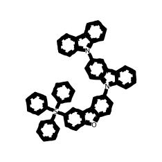 c1ccc(S(c2ccccc2)(c2ccccc2)c2ccc3oc4ccc(-n5c6ccccc6c6cc(-n7c8ccccc8c8ccccc87)ccc65)cc4c3c2)cc1